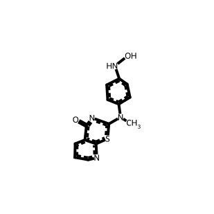 CN(c1ccc(NO)cc1)c1nc(=O)c2cccnc2s1